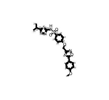 COc1ccc(-c2nc(COc3ccc(S(=O)(=O)Nc4nnc(C(C)C)s4)cc3)no2)cc1